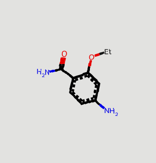 CCOc1cc(N)ccc1C(N)=O